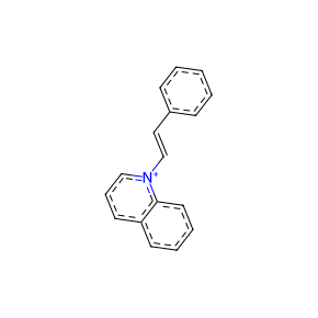 C(=C[n+]1cccc2ccccc21)c1ccccc1